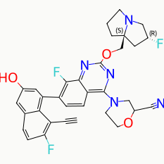 C#Cc1c(F)ccc2cc(O)cc(-c3ccc4c(N5CCOC(C#N)C5)nc(OC[C@@]56CCCN5C[C@H](F)C6)nc4c3F)c12